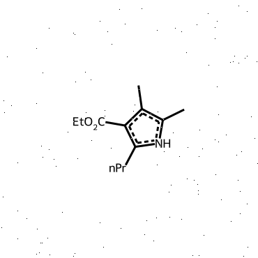 CCCc1[nH]c(C)c(C)c1C(=O)OCC